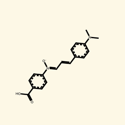 CN(C)c1ccc(C=CC=[N+]([O-])c2ccc(C(=O)O)cc2)cc1